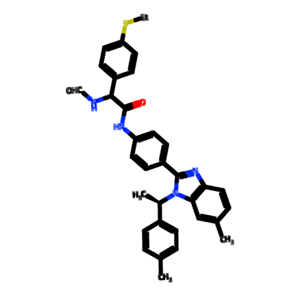 CCSc1ccc(C(NC=O)C(=O)Nc2ccc(-c3nc4ccc(C)cc4n3[C@H](C)c3ccc(C)cc3)cc2)cc1